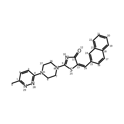 Cc1ccc(N2CCN(C3=NC(=O)C(=Cc4ccc5ccccc5c4)S3)CC2)nn1